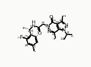 Cc1ccc([C@H](C)NC(=O)Cn2nc(C)c3c(c(C)nn3C(C)C)c2=O)c(F)c1